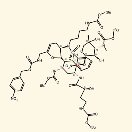 CN(C(=O)OC(C)(C)C)[C@@H]1[C@@H](O)[C@@H](O[C@@H]2[C@@H](O)[C@H](C3OC(CNC(=O)OCc4ccc([N+](=O)[O-])cc4)=CC[C@H]3N(CCCCNC(=O)OC(C)(C)C)S(=O)(=O)c3ccccc3[N+](=O)[O-])[C@@H](NC(=O)OC(C)(C)C)C[C@H]2NC(=O)[C@@H](O)CCNC(=O)OC(C)(C)C)OC[C@]1(C)O